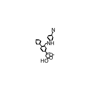 COC[C@@H](CC(=O)O)c1ccc(-c2ccccc2)c(CNc2ccc(C#N)cc2)c1